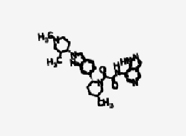 C[C@H]1CC[C@H](c2ccc3cn([C@H]4CCN(C)C[C@@H]4C)nc3c2)N(C(=O)C(=O)Nc2cncc3cn[nH]c23)C1